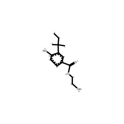 CCC(C)(C)c1cc(C(=O)OCCO)ccc1O